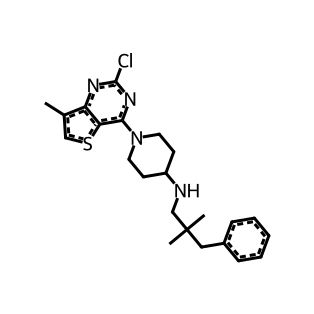 Cc1csc2c(N3CCC(NCC(C)(C)Cc4ccccc4)CC3)nc(Cl)nc12